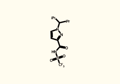 CC(C)C(C(C)C)n1ccc(C(=O)NS(=O)(=O)C(F)(F)F)n1